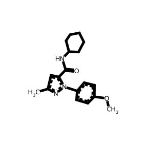 COc1ccc(-n2nc(C)cc2C(=O)NC2CCCCC2)cc1